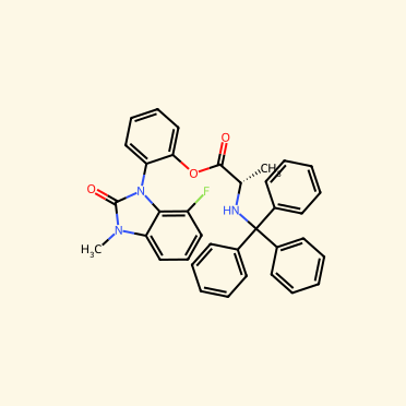 C[C@H](NC(c1ccccc1)(c1ccccc1)c1ccccc1)C(=O)Oc1ccccc1-n1c(=O)n(C)c2cccc(F)c21